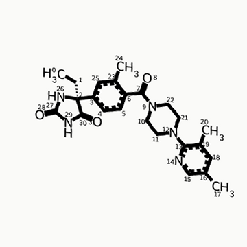 CC[C@@]1(c2ccc(C(=O)N3CCN(c4ncc(C)cc4C)CC3)c(C)c2)NC(=O)NC1=O